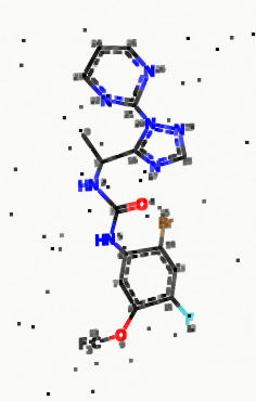 CC(NC(=O)Nc1cc(OC(F)(F)F)c(F)cc1Br)c1ncnn1-c1ncccn1